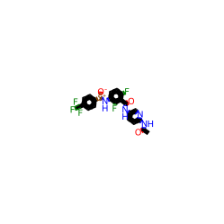 CC(=O)Nc1ccc(NC(=O)c2c(F)ccc(N[S+]([O-])c3ccc(C(F)(F)F)cc3)c2F)cn1